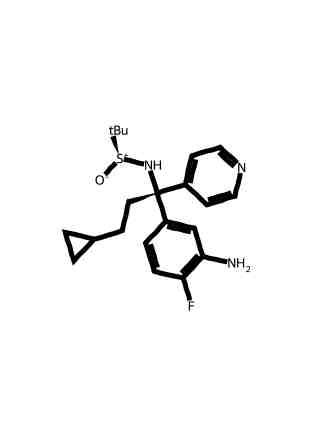 CC(C)(C)[S@+]([O-])N[C@](CCC1CC1)(c1ccncc1)c1ccc(F)c(N)c1